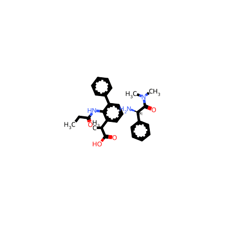 CCC(=O)Nc1c(-c2ccccc2)cccc1C(C)C(=O)O.CN(C)C(=O)[C@H](N)c1ccccc1